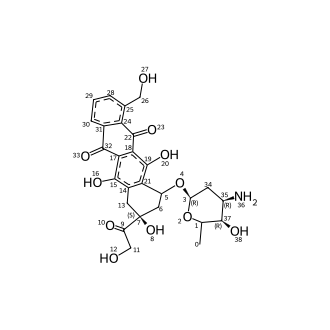 CC1O[C@@H](OC2C[C@](O)(C(=O)CO)Cc3c(O)c4c(c(O)c32)C(=O)c2c(CO)cccc2C4=O)C[C@@H](N)[C@H]1O